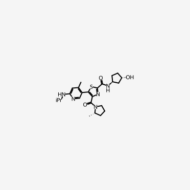 Cc1cc(NC(C)C)ncc1-c1sc(C(=O)N[C@H]2CC[C@H](O)C2)nc1C(=O)N1CCC[C@@H]1C